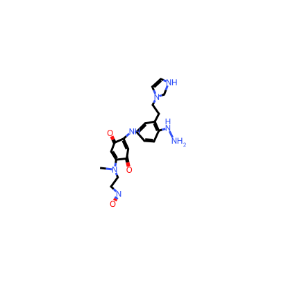 CN(CCN=O)C1=CC(=O)C(Nc2ccc(NN)c(CCN3C=CNC3)c2)=CC1=O